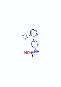 CB(O)NC1CCN(c2ncccc2[N+](=O)[O-])CC1